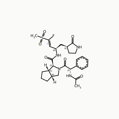 CC(=O)N[C@H](C(=O)N1C[C@@H]2CCC[C@@H]2[C@H]1C(=O)N[C@@H](/C=C(\F)S(C)(=O)=O)C[C@@H]1CCNC1=O)c1ccccc1